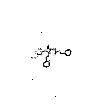 CC[C@@H](CC(=O)OC)N1C(=O)[C@@H](NC(=O)OCc2ccccc2)[C@H]1C=Cc1ccccc1